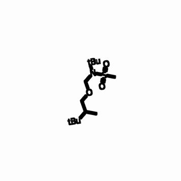 CC(COCN(C(C)(C)C)S(C)(=O)=O)C(C)(C)C